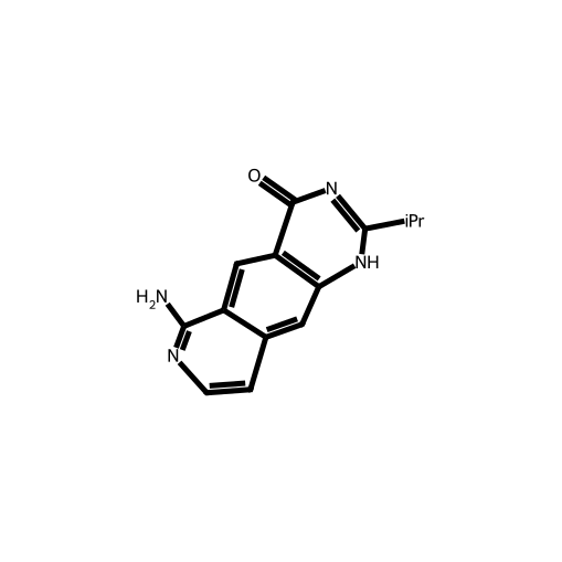 CC(C)c1nc(=O)c2cc3c(N)nccc3cc2[nH]1